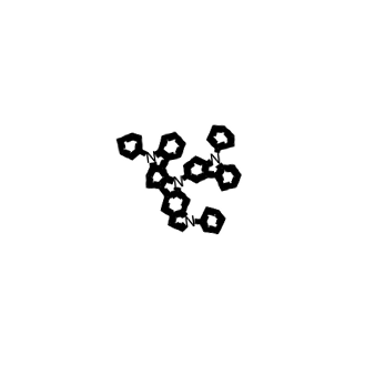 c1ccc(-n2ccc3cc4c5ccc6c(c7ccccc7n6-c6ccccc6)c5n(-c5ccc6c(c5)c5ccccc5n6-c5ccccc5)c4cc32)cc1